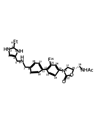 CCC1NC=C(CNCc2ccc(-c3ccc(N4C[C@H](CNC(C)=O)OC4=O)cc3F)cc2)N1